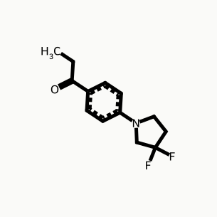 CCC(=O)c1ccc(N2CCC(F)(F)C2)cc1